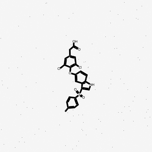 Cc1ccc(S(=O)(=O)c2c[nH]c3ccc(Oc4c(Cl)cc(CC(=O)O)cc4Cl)cc23)cc1